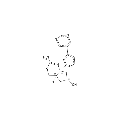 NC1=N[C@@]2(c3cccc(-c4cncnc4)c3)C[C@H](O)C[C@H]2CS1